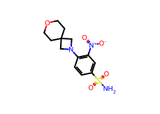 NS(=O)(=O)c1ccc(N2CC3(CCOCC3)C2)c([N+](=O)[O-])c1